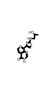 CC(O)CNc1nc(-c2nccc3c(=O)[nH]cnc23)cs1